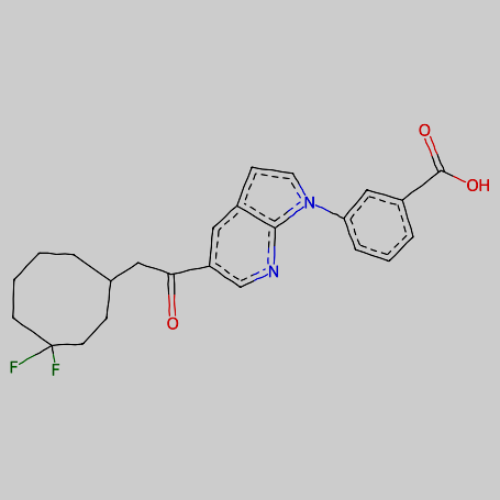 O=C(O)c1cccc(-n2ccc3cc(C(=O)CC4CCCCC(F)(F)CC4)cnc32)c1